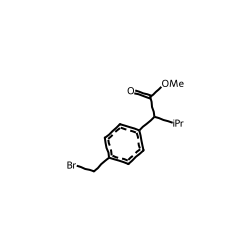 COC(=O)C(c1ccc(CBr)cc1)C(C)C